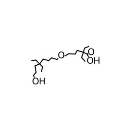 CCC(CC)(CCCO)CCCCOCCCCC(CC)(CC)C(=O)O